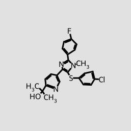 Cn1c(-c2ccc(F)cc2)nc(-c2ccc(C(C)(C)O)nc2)c1Sc1ccc(Cl)cc1